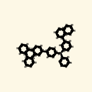 c1ccc(N(c2ccc(-c3ccc4c5ccccc5c5ccccc5c4c3)cc2)c2cccc(-c3cccc4ccccc34)c2)cc1